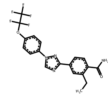 CCc1cc(-c2ncn(-c3ccc(OC(F)(F)C(F)(F)F)cc3)n2)ccc1C(N)=O